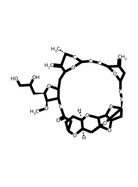 C=C1CC2CC[C@@]34CC5OC6C(O[C@@H]7CCC(CC(=O)CC8C(CC9OC(CCC1O2)C[C@@H](C)C9=C)O[C@H](CC(O)CO)[C@@H]8OC)O[C@@H]7C6O3)C5O4